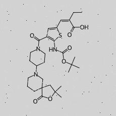 CCC(=Cc1cc(C(=O)N2CCC(N3CCCC4(C3)CC(C)(C)OC4=O)CC2)c(NC(=O)OC(C)(C)C)s1)C(=O)O